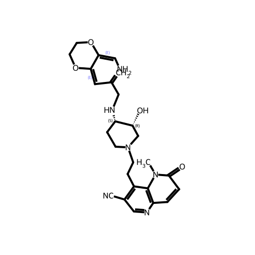 C=C(/C=C1/OCCO/C1=C/N)CN[C@H]1CCN(CCc2c(C#N)cnc3ccc(=O)n(C)c23)C[C@H]1O